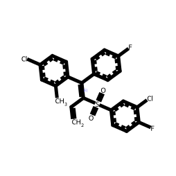 C=C/C(=C(/c1ccc(F)cc1)c1ccc(Cl)cc1C)S(=O)(=O)c1ccc(F)c(Cl)c1